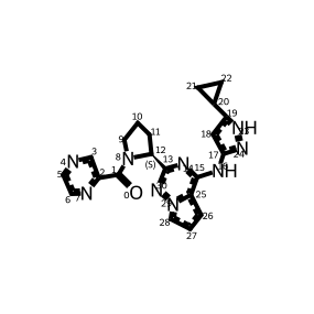 O=C(c1cnccn1)N1CCC[C@H]1c1nc(Nc2cc(C3CC3)[nH]n2)c2cccn2n1